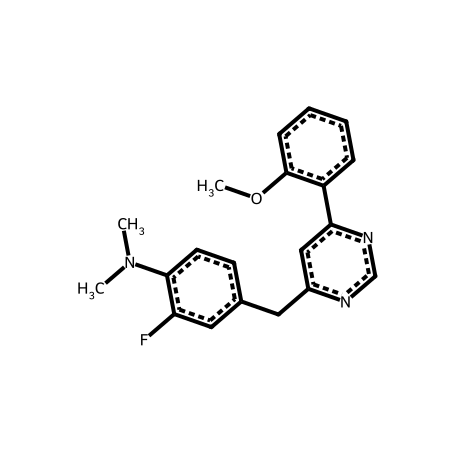 COc1ccccc1-c1cc(Cc2ccc(N(C)C)c(F)c2)ncn1